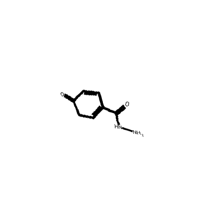 NNC(=O)C1=CCC(=O)C=C1